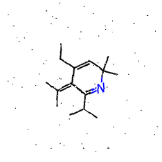 CCC1=CC(C)(C)N=C(C(C)C)C1=C(C)C